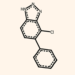 Clc1c(-c2ccccc2)ccc2[nH]nnc12